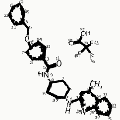 Cc1cc(N[C@H]2CC[C@@H](NC(=O)c3ccc(OCc4ccccc4)cc3)CC2)nc2ccccc12.O=C(O)C(F)(F)F